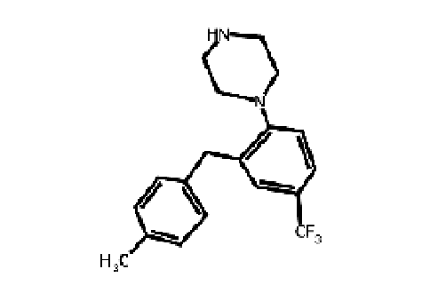 Cc1ccc(Cc2cc(C(F)(F)F)ccc2N2CCNCC2)cc1